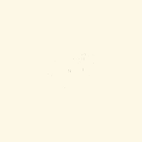 CCCOP(=S)(CN(C(=O)C(F)(F)F)C(CC)C(=O)O)OCCC